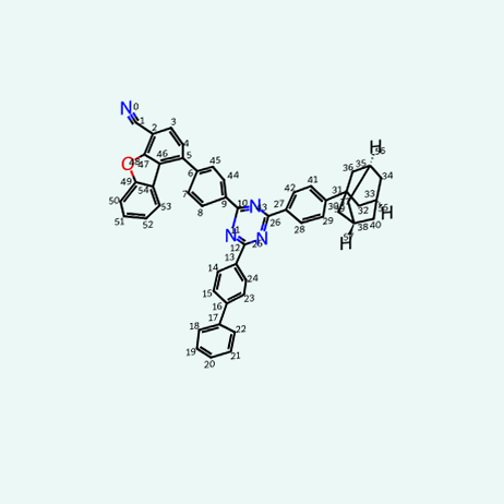 N#Cc1ccc(-c2ccc(-c3nc(-c4ccc(-c5ccccc5)cc4)nc(-c4ccc(C56C[C@H]7C[C@H](C5)C[C@@H](C6)C7)cc4)n3)cc2)c2c1oc1ccccc12